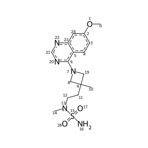 COc1ccc2c(N3CC(C)(CCN(C)S(N)(=O)=O)C3)ncnc2c1